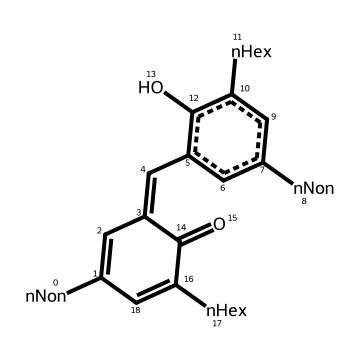 CCCCCCCCCC1=CC(=Cc2cc(CCCCCCCCC)cc(CCCCCC)c2O)C(=O)C(CCCCCC)=C1